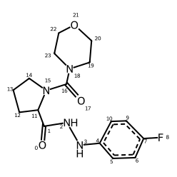 O=C(NNc1ccc(F)cc1)C1CCCN1C(=O)N1CCOCC1